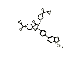 Cn1ncc2cc(-c3ccc(C4=NC5(CCN(C(=O)C6CC6)CC5)C(=O)N4C[C@@H]4CCN(C(=O)C5CC5)C4)cc3)ccc21